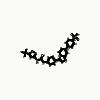 CC(C)(C)c1cc(NC(=O)Cc2ccc(-c3cnc4cc(-c5ccc(S(C)(=O)=O)cc5)ccn34)cc2)no1